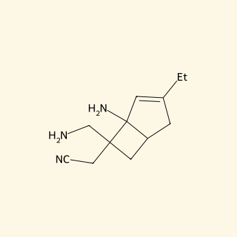 CCC1=CC2(N)C(C1)CC2(CN)CC#N